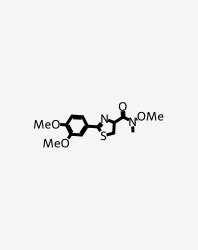 COc1ccc(C2=NC(C(=O)N(C)OC)CS2)cc1OC